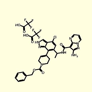 CC(NC(=O)c1c(N)nn2cccnc12)c1cc(Cl)c2c[nH]nc2c1C1=CCN(C(=O)OCc2ccccc2)CC1.O=C(O)C(F)(F)F.O=C(O)C(F)(F)F